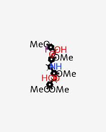 COc1ccc([C@@H](O)[C@@H](C)Oc2ccc(C3NC(c4ccc(O[C@H](C)[C@H](O)c5ccc(OC)c(OC)c5)c(OC)c4)[C@H](C)[C@H]3C)cc2OC)cc1I